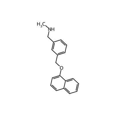 CNCc1cccc(COc2cccc3ccccc23)c1